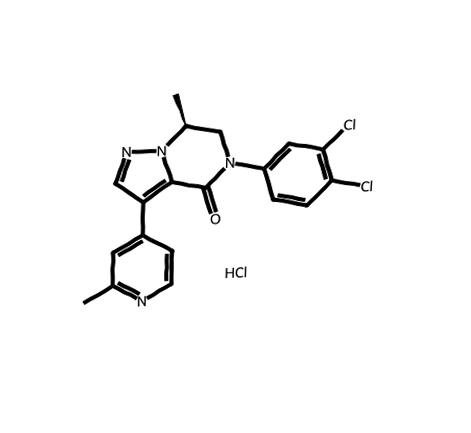 Cc1cc(-c2cnn3c2C(=O)N(c2ccc(Cl)c(Cl)c2)C[C@@H]3C)ccn1.Cl